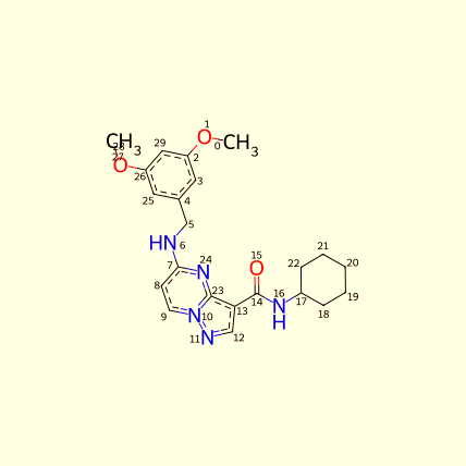 COc1cc(CNc2ccn3ncc(C(=O)NC4CCCCC4)c3n2)cc(OC)c1